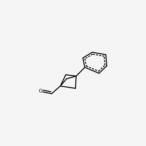 O=CC12CC(c3ccccc3)(C1)C2